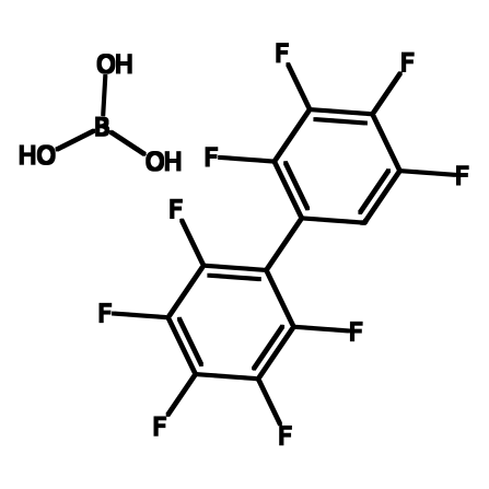 Fc1cc(-c2c(F)c(F)c(F)c(F)c2F)c(F)c(F)c1F.OB(O)O